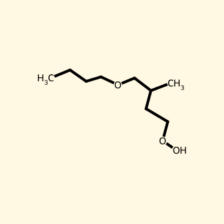 CCCCOCC(C)CCOO